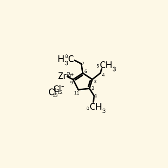 CCC1=C(CC)C(CC)=[C]([Zr+2])C1.[Cl-].[Cl-]